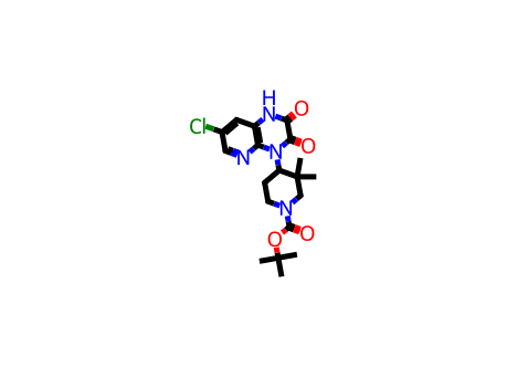 CC(C)(C)OC(=O)N1CCC(n2c(=O)c(=O)[nH]c3cc(Cl)cnc32)C(C)(C)C1